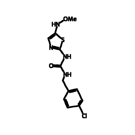 CONc1cnc(NC(=O)NCc2ccc(Cl)cc2)s1